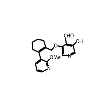 COc1ncccc1C1=C(COc2cncc(O)c2C=O)CCCC1